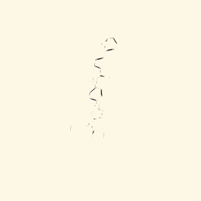 CN(C(=O)OC(C)(C)C)C1CCN(c2ccc(NC(=O)c3ccc(-c4ccccn4)s3)cc2)C1